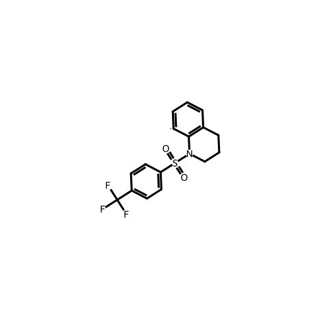 O=S(=O)(c1ccc(C(F)(F)F)cc1)N1CCCc2ccc[c]c21